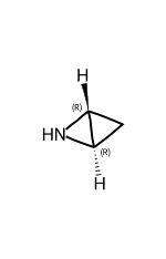 C1[C@H]2N[C@H]12